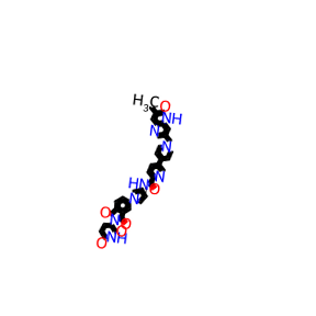 CCc1cc2ncc(CN3CC=C(c4ccc(C(=O)N[C@H]5CCN(c6ccc7c(c6)C(=O)N(C6CCC(=O)NC6=O)C7=O)C5)nc4)CC3)cc2[nH]c1=O